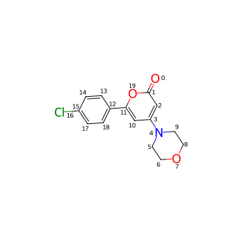 O=c1cc(N2CCOCC2)cc(-c2ccc(Cl)cc2)o1